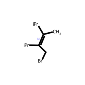 C/C(=C(\CBr)C(C)C)C(C)C